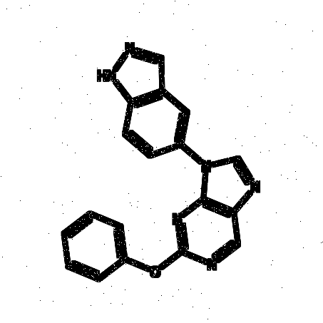 c1ccc(Oc2ncc3ncn(-c4ccc5[nH]ncc5c4)c3n2)cc1